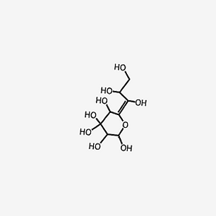 OCC(O)/C(O)=C1/O[C](O)C(O)C(O)(O)C1O